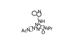 CC(=O)N1CCN(c2nc(NCc3ccnc4ccccc34)c3c(n2)C(=O)N(C(C)C)C3)CC1